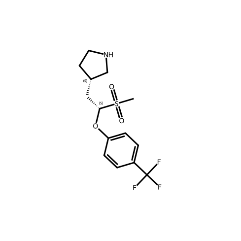 CS(=O)(=O)[C@@H](C[C@@H]1CCNC1)Oc1ccc(C(F)(F)F)cc1